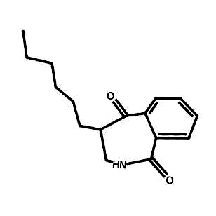 CCCCCCC1CNC(=O)c2ccccc2C1=O